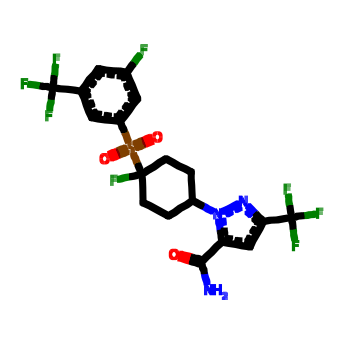 NC(=O)c1cc(C(F)(F)F)nn1C1CCC(F)(S(=O)(=O)c2cc(F)cc(C(F)(F)F)c2)CC1